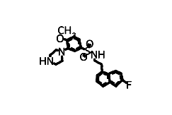 COc1ccc(S(=O)(=O)NCCc2cccc3cc(F)ccc23)cc1N1CCNCC1